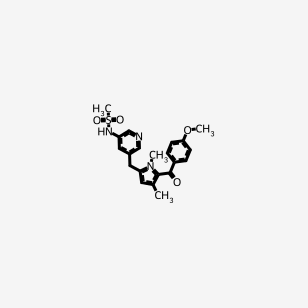 COc1ccc(C(=O)c2c(C)cc(Cc3cncc(NS(C)(=O)=O)c3)n2C)cc1